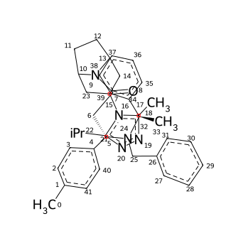 Cc1ccc([C@H](CC(=O)N2C3CCC2CC(n2c(C)nnc2C(C)C)C3)N(Cc2ccccc2)[C@H](C)c2ccccc2)cc1